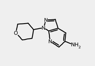 Nc1cnc2c(cnn2C2CCOCC2)c1